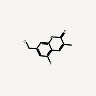 Cc1cc2c(F)cc(CCl)cc2[nH]c1=O